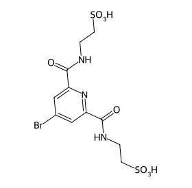 O=C(NCCS(=O)(=O)O)c1cc(Br)cc(C(=O)NCCS(=O)(=O)O)n1